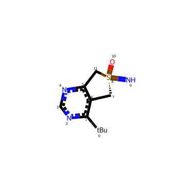 CC(C)(C)c1ncnc2c1C[S@@](=N)(=O)C2